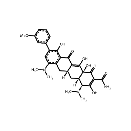 COc1cccc(-c2cc(N(C)C)c3c(c2O)C(=O)C2=C(O)[C@]4(O)C(=O)C(C(N)=O)=C(O)[C@@H](N(C)C)[C@@H]4C[C@@H]2C3)c1